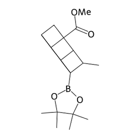 COC(=O)C12CC3C1C1C2C(C)C31B1OC(C)(C)C(C)(C)O1